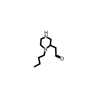 CCCCN1CCNCC1C[C]=O